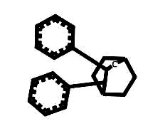 c1ccc(C2CC3CCC(CC3)C2c2ccccc2)cc1